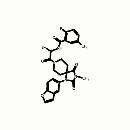 CC(C)C(NC(=O)c1cc(C(F)(F)F)ccc1F)C(=O)N1CCC2(CC1)C(=O)N(C)C(=O)N2c1ccc2occc2c1